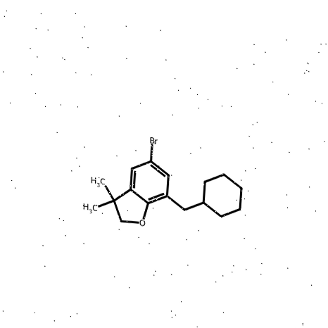 CC1(C)COc2c(CC3CCCCC3)cc(Br)cc21